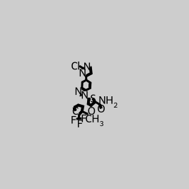 C[C@@H](Oc1cc(-n2cnc3c2C=CC(c2ccnc(Cl)n2)C3)sc1C(N)=O)c1ccccc1C(F)(F)F